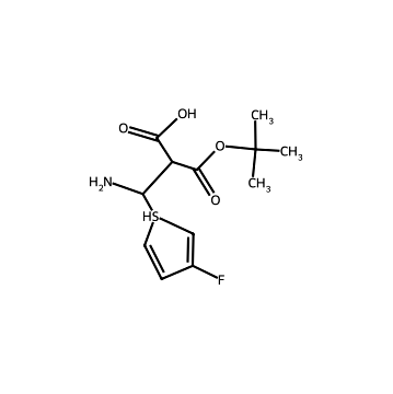 CC(C)(C)OC(=O)C(C(=O)O)C(N)[SH]1C=CC(F)=C1